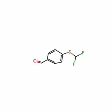 O=Cc1ccc(SC(F)F)cc1